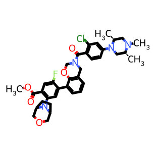 COC(=O)c1cc(F)c(-c2cccc3c2OCN(C(=O)c2ccc(N4C[C@@H](C)N(C)C[C@H]4C)cc2Cl)C3)cc1N1C2CCC1COC2